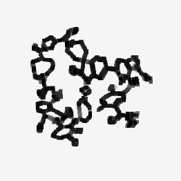 Cc1cc(F)c(Nc2nc(-c3ccc4c(c3)N([C@H]3C[C@@H](N5CCCCC5)C3)C(=O)C43CCN(C(=O)C4CCN(C(=O)C5CCN(C(=O)CNc6cccc7c6C(=O)N(C6CCC(=O)NC6=O)C7=O)CC5)C4)CC3)cc3ncn(C(C)C)c23)cc1C(=O)NC(C)C